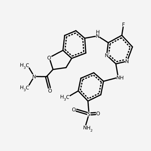 Cc1ccc(Nc2ncc(F)c(Nc3ccc4c(c3)CC(C(=O)N(C)C)O4)n2)cc1S(N)(=O)=O